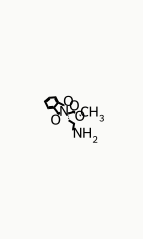 COC(=O)[C@H](CCCN)N1C(=O)c2ccccc2C1=O